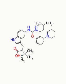 CC(C)CC(NC(=O)Nc1ccc2[nH]cc(CC(C(=O)O)C(C)(C)C)c2c1)c1ccccc1N1CCCCC1